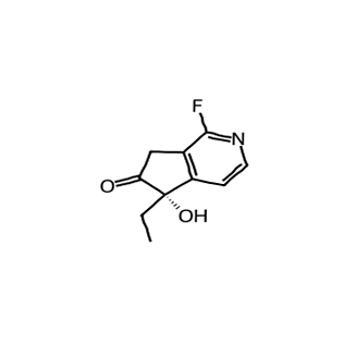 CC[C@@]1(O)C(=O)Cc2c1ccnc2F